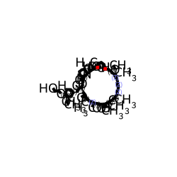 CO[C@H]1C[C@@H]2CC[C@@H](C)[C@@](O)(O2)C(=O)C(=O)N2CCCC[C@H]2C(=O)O[C@H]([C@H](C)C[C@@H]2CC[C@@H](OCCO)[C@H](OC)C2)CC(=O)[C@H](C)/C=C(/C)[C@@H](O)[C@@H](OC)C(=O)[C@H](C)C[C@H](C)\C=C/C=C\C=C/1C